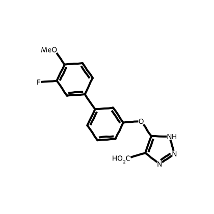 COc1ccc(-c2cccc(Oc3[nH]nnc3C(=O)O)c2)cc1F